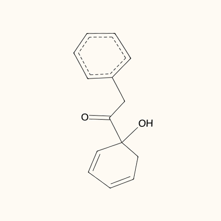 O=C(Cc1ccccc1)C1(O)C=CC=CC1